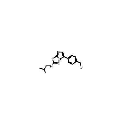 CC(C)CNc1nn2c(-c3ccc(CO)cc3)cnc2s1